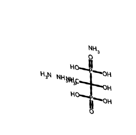 CC(O)(P(=O)(O)O)P(=O)(O)O.N.N.N.N